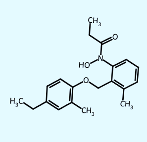 CCC(=O)N(O)c1cccc(C)c1COc1ccc(CC)cc1C